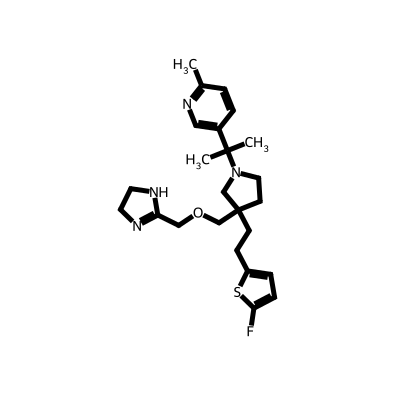 Cc1ccc(C(C)(C)N2CCC(CCc3ccc(F)s3)(COCC3=NCCN3)C2)cn1